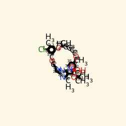 Cc1cc2c(cc1Cl)COCc1cc3nc(C)c([C@H](OC(C)(C)C)C(=O)O)c(n3n1)N1CCC(C)(CC1)OCCCC[C@H](C)O2